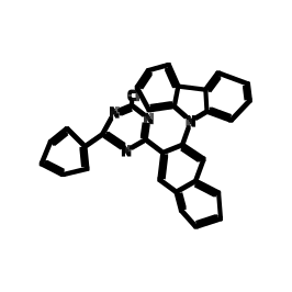 Clc1nc(-c2ccccc2)nc(-c2cc3ccccc3cc2-n2c3ccccc3c3ccccc32)n1